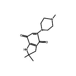 CN1CCN(C2=CC(=O)C3=C(CC(C)(C)N3)C2=O)CC1